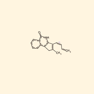 C=C/C=C\C1=C(C)Cc2c1[nH]c(=O)c1ccccc21